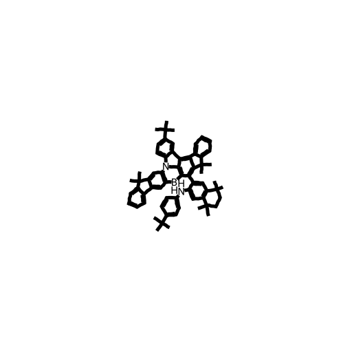 CC(C)(C)c1ccc(Nc2cc3c(cc2-c2c4c(c5c6cc(C(C)(C)C)ccc6n6c5c2Bc2cc5c(cc2-6)C(C)(C)c2ccccc2-5)-c2ccccc2C4(C)C)C(C)(C)CCC3(C)C)cc1